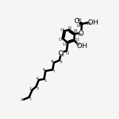 CCCCCCCCCCOCc1cccc(OC(=O)O)c1O